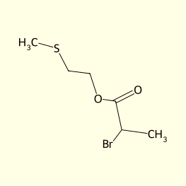 CSCCOC(=O)C(C)Br